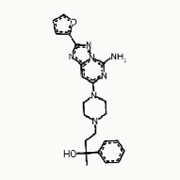 CC(O)(CCN1CCN(c2cc3nc(-c4ccco4)nn3c(N)n2)CC1)c1ccccc1